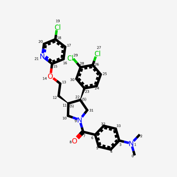 CN(C)c1ccc(C(=O)N2C[C@@H](CCOc3ccc(Cl)cn3)[C@@H](c3ccc(Cl)c(Cl)c3)C2)cc1